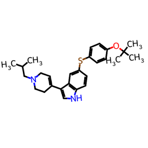 CC(C)CN1CC=C(c2c[nH]c3ccc(Sc4ccc(OC(C)(C)C)cc4)cc23)CC1